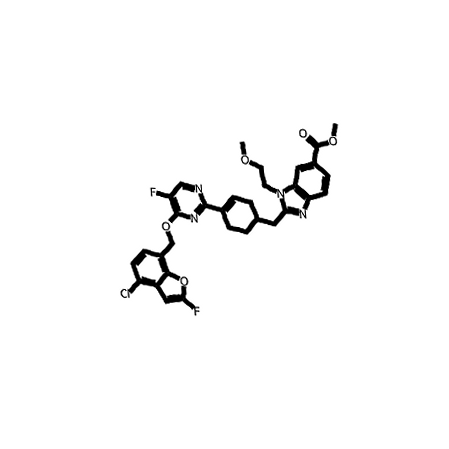 COCCn1c(CC2CC=C(c3ncc(F)c(OCc4ccc(Cl)c5cc(F)oc45)n3)CC2)nc2ccc(C(=O)OC)cc21